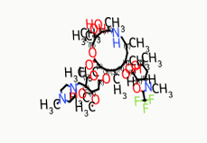 CC[C@H]1OC(=O)[C@H](C)[C@@H](O[C@H]2C[C@@](C)(OC)[C@](O)(CN3CCN(C)CC3)[C@H](C)O2)[C@H](C)[C@@H](O[C@@H]2O[C@H](C)C[C@H]3[C@H]2OC(C(F)(F)F)N3C)[C@](C)(O)C[C@@H](C)CN[C@H](C)[C@@H](O)[C@]1(C)O